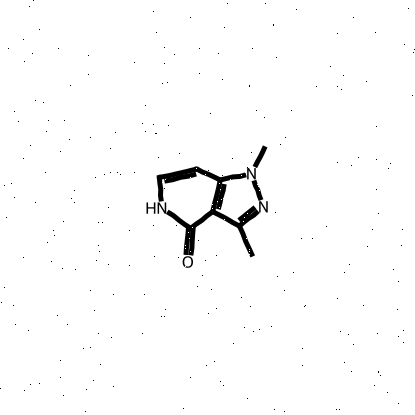 Cc1nn(C)c2cc[nH]c(=O)c12